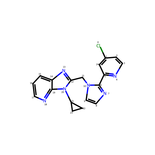 Clc1ccnc(-c2nccn2Cc2nc3cccnc3n2C2CC2)c1